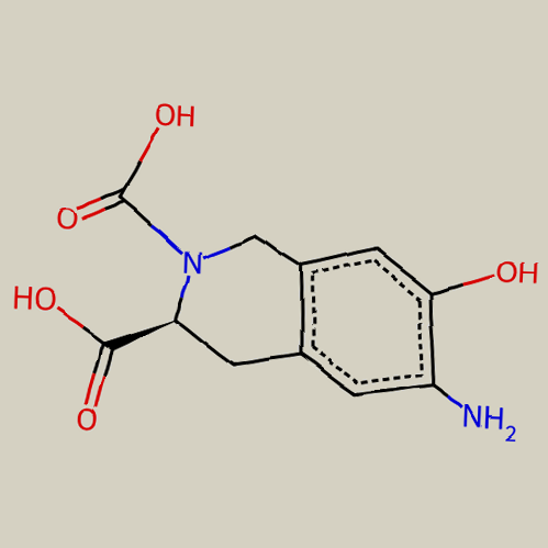 Nc1cc2c(cc1O)CN(C(=O)O)[C@H](C(=O)O)C2